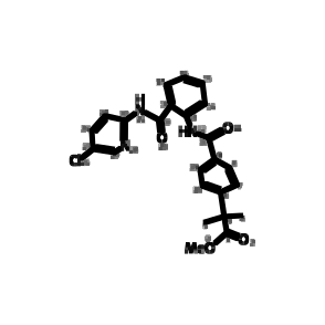 COC(=O)C(C)(C)c1ccc(C(=O)Nc2ccccc2C(=O)Nc2ccc(Cl)cn2)cc1